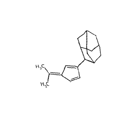 CC(C)=C1[C]=CC(C2C3CC4CC(C3)CC2C4)=C1